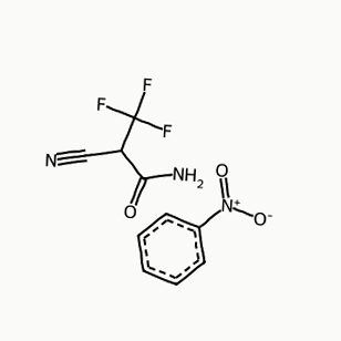 N#CC(C(N)=O)C(F)(F)F.O=[N+]([O-])c1ccccc1